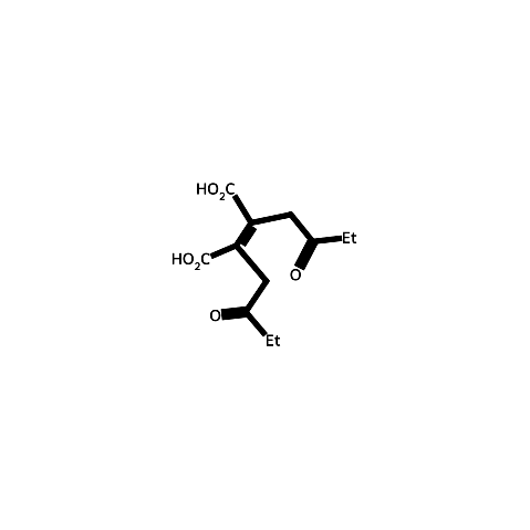 CCC(=O)CC(C(=O)O)=C(CC(=O)CC)C(=O)O